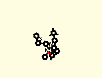 Cc1cc(C)c(-c2ccc3c4ccc(-c5c(C)cc(C)cc5C)cc4n(-c4ccc(-c5cccc6c5sc5ccccc56)cc4-c4nc(-c5ccccc5)nc(-c5ccccc5)n4)c3c2)c(C)c1